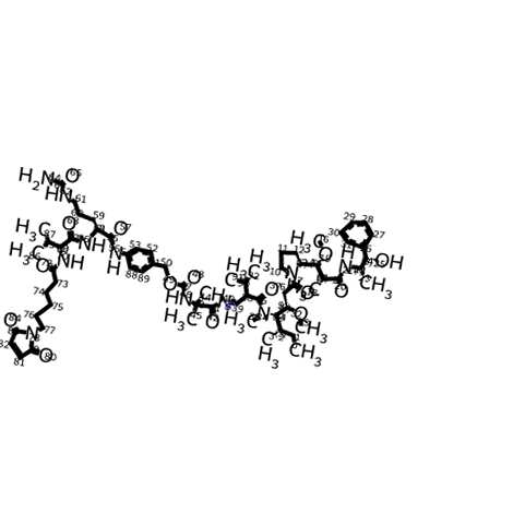 CC[C@H](C)[C@@H]([C@@H](CC(=O)N1CCC[C@H]1[C@H](OC)[C@@H](C)C(=O)N[C@H](C)[C@@H](O)c1ccccc1)OC)N(C)C(=O)C(/C=N/C(=O)C(C)(C)NC(=O)OCc1ccc(NC(=O)[C@H](CCCNC(N)=O)NC(=O)[C@@H](NC(=O)CCCCCN2C(=O)C=CC2=O)C(C)C)cc1)C(C)C